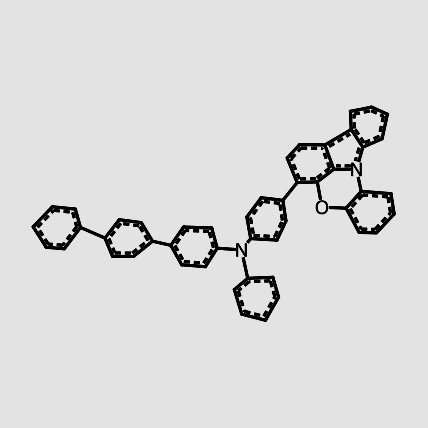 c1ccc(-c2ccc(-c3ccc(N(c4ccccc4)c4ccc(-c5ccc6c7ccccc7n7c6c5Oc5ccccc5-7)cc4)cc3)cc2)cc1